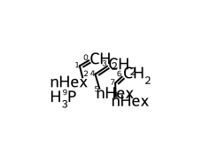 C=CCCCCCC.C=CCCCCCC.C=CCCCCCC.P